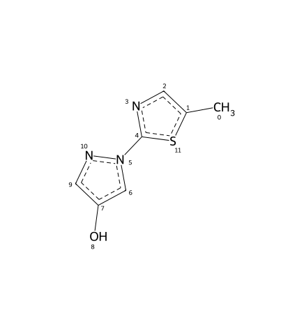 Cc1cnc(-n2cc(O)cn2)s1